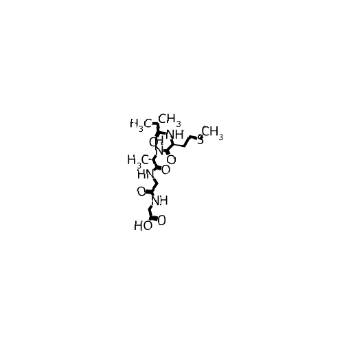 CSCC[C@H](NC(=O)C(C)C)C(=O)N[C@@H](C)C(=O)NCC(=O)NCC(=O)O